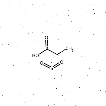 CCC(=O)O.O=S=O